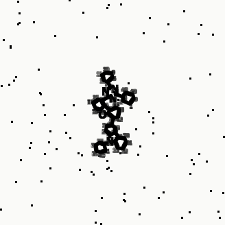 c1ccc(-c2nc(-c3ccccc3)nc(-c3cccc4oc5c(-c6ccc7c(c6)c6ccccc6n7-c6ccccc6)cccc5c34)n2)cc1